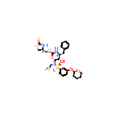 CC(C)CN(C[C@@H](O)[C@H](Cc1ccccc1)NC(=O)OC[C@H]1CSC(=O)N1)S(=O)(=O)c1cccc(OC2CCCCO2)c1